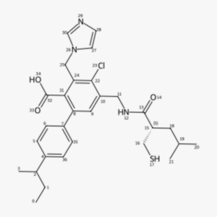 CCC(C)c1ccc(-c2cc(CNC(=O)[C@@H](CS)CC(C)C)c(Cl)c(Cn3ccnc3)c2C(=O)O)cc1